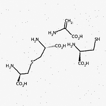 C=C(N)C(=O)O.N[C@@H](CS)C(=O)O.N[C@@H](CSC[C@H](N)C(=O)O)C(=O)O